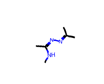 CN/C(C)=N\N=C(C)C